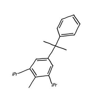 Cc1c(C(C)C)cc(C(C)(C)c2ccccc2)cc1C(C)C